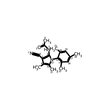 CC(=O)Nc1c(C#N)c(C)c(C)n1-c1c(C)cc(C)cc1C